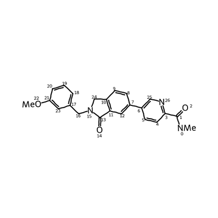 CNC(=O)c1ccc(-c2ccc3c(c2)C(=O)N(Cc2cccc(OC)c2)C3)cn1